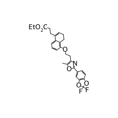 CCOC(=O)CCC1=CCCc2c(OCCc3nc(-c4ccc5c(c4)OC(F)(F)O5)oc3C)cccc21